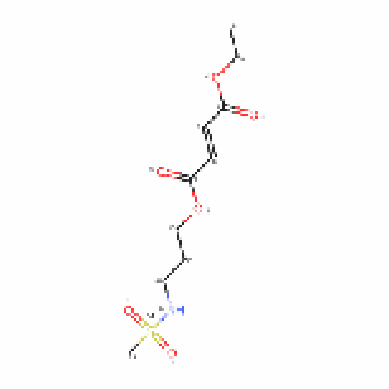 CCOC(=O)C=CC(=O)OCCCNS(C)(=O)=O